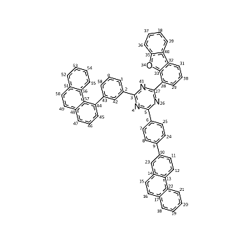 c1cc(-c2nc(-c3ccc(-c4ccc5c(ccc6ccccc65)c4)cc3)nc(-c3cccc4c3oc3ccccc34)n2)cc(-c2cccc3ccc4ccccc4c23)c1